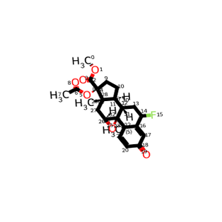 COC(=O)[C@@]1(OC(C)=O)CC[C@H]2[C@@H]3CC(F)C4=CC(=O)C=C[C@]4(C)[C@@]34O[C@H]4C[C@@]21C